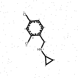 Clc1ccc(CNC2CC2)c(Cl)c1